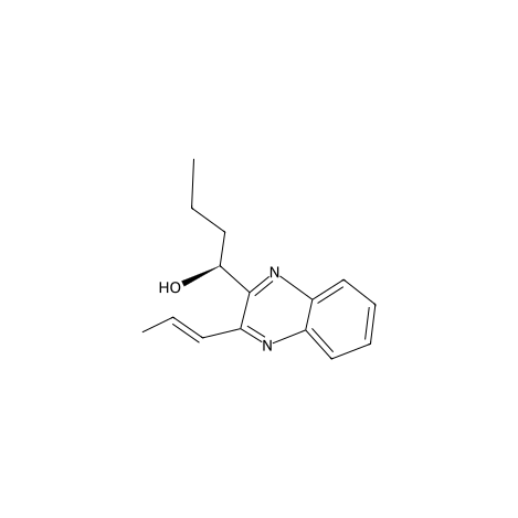 C/C=C/c1nc2ccccc2nc1[C@@H](O)CCC